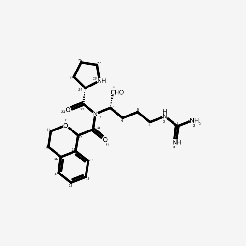 N=C(N)NCCC[C@@H](C=O)N(C(=O)C1OCCc2ccccc21)C(=O)[C@@H]1CCCN1